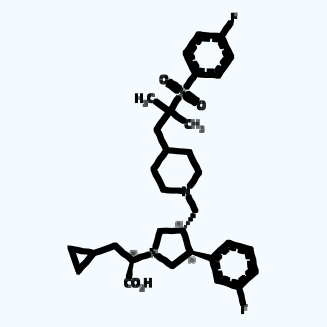 CC(C)(CC1CCN(C[C@H]2CN([C@H](CC3CC3)C(=O)O)C[C@@H]2c2cccc(F)c2)CC1)S(=O)(=O)c1ccc(F)cc1